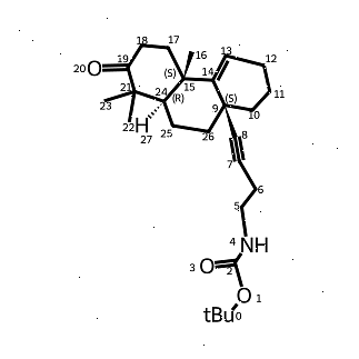 CC(C)(C)OC(=O)NCCC#C[C@]12CCCC=C1[C@@]1(C)CCC(=O)C(C)(C)[C@@H]1CC2